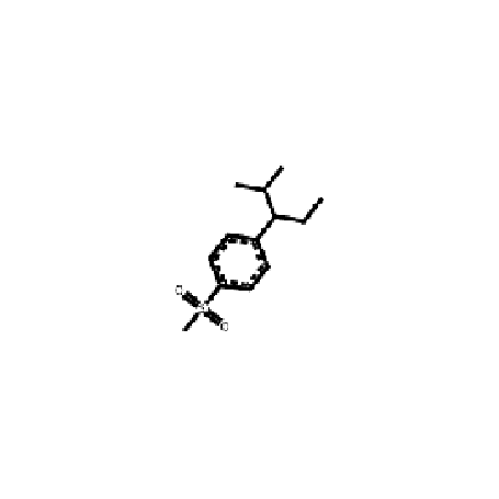 CCC(c1ccc(S(C)(=O)=O)cc1)C(C)C